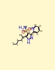 CCCCC(C)c1[nH]nc(-c2ccccn2)c1S(N)(=O)=O